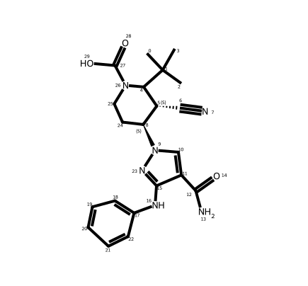 CC(C)(C)C1[C@H](C#N)[C@@H](n2cc(C(N)=O)c(Nc3ccccc3)n2)CCN1C(=O)O